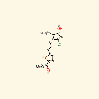 CCCCCCC[C@@H]1[C@@H](CCCc2ccc(C(=O)OC)s2)[C@H](Cl)C[C@H]1O